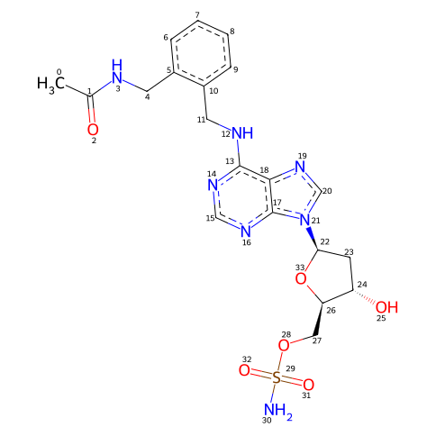 CC(=O)NCc1ccccc1CNc1ncnc2c1ncn2[C@H]1C[C@H](O)[C@@H](COS(N)(=O)=O)O1